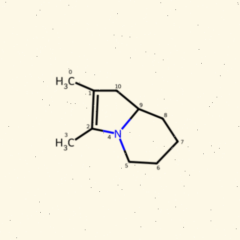 CC1=C(C)N2CCCCC2C1